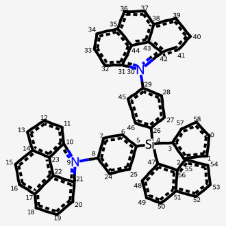 c1ccc([Si](c2ccc(-n3c4cccc5ccc6cccc3c6c54)cc2)(c2ccc(-n3c4cccc5ccc6cccc3c6c54)cc2)c2cccc3ccccc23)cc1